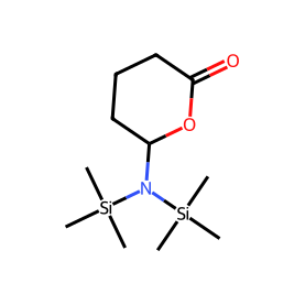 C[Si](C)(C)N(C1CCCC(=O)O1)[Si](C)(C)C